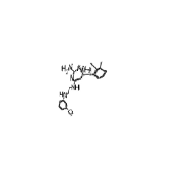 COc1cccc(NCCNC2=CC(c3cccc(C)c3C)NC(N)=N2)c1